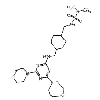 CN(C)S(=O)(=O)NCC1CCC(CNc2nc(N3CCOCC3)nc(N3CCOCC3)n2)CC1